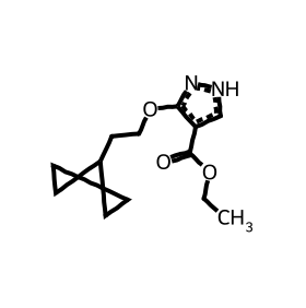 CCOC(=O)c1c[nH]nc1OCCC1C2(CC2)C12CC2